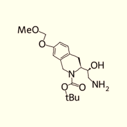 COCOc1ccc2c(c1)CN(C(=O)OC(C)(C)C)[C@H]([C@@H](O)CN)C2